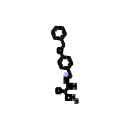 CC(=O)N/N=C/c1ccc(OCc2ccccc2)cc1